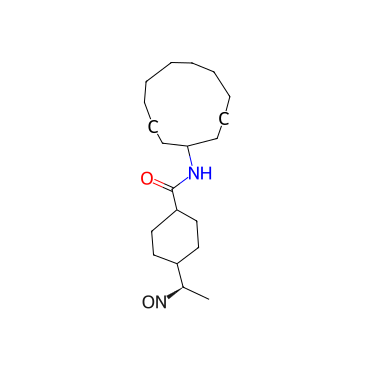 C[C@@H](N=O)C1CCC(C(=O)NC2CCCCCCCCCC2)CC1